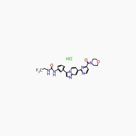 Cl.O=C(NCC(F)(F)F)Nc1cccc(-c2cnc3cc(-c4nccc(C(=O)N5CCOCC5)n4)ccn23)c1